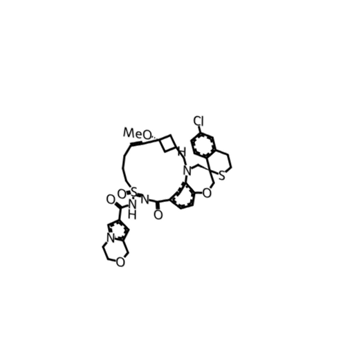 CO[C@]12/C=C/CCCS(=O)(NC(=O)c3cc4n(c3)CCOC4)=NC(=O)c3ccc4c(c3)N(C[C@]3(CO4)SCCc4cc(Cl)ccc43)C[C@@H](C1)C2